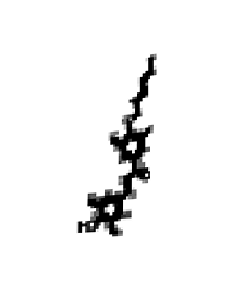 CCCCCCSc1c(C)cc(C(=O)/C=C/c2cc(C)c(O)c(C)c2)cc1C